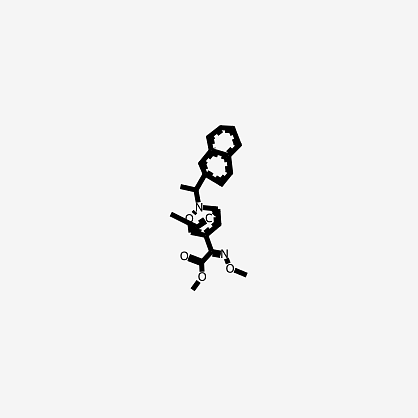 CON=C(C(=O)OC)c1cc2cc(C)c1ON2C(C)c1ccc2ccccc2c1